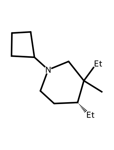 CC[C@@H]1CCN(C2CCC2)CC1(C)CC